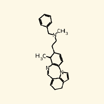 CC1C2=C(C=CC1CCN(C)Cc1ccccc1)n1ccc3c1C(=CCC3)C=N2